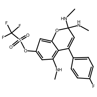 CNc1cc(OS(=O)(=O)C(F)(F)F)cc2c1C(c1ccc(F)cc1)=CC(NC)(NC)O2